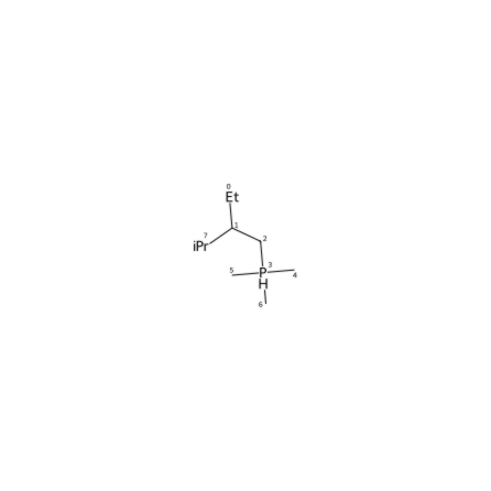 CCC(C[PH](C)(C)C)C(C)C